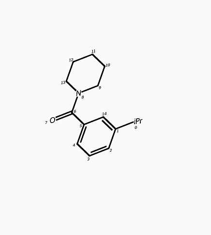 CC(C)c1cccc(C(=O)N2CCCCC2)c1